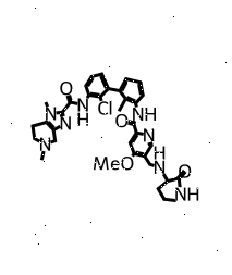 COc1cc(C(=O)Nc2cccc(-c3cccc(NC(=O)c4nc5c(n4C)CCN(C)C5)c3Cl)c2C)ncc1CNC1CCCNC1=O